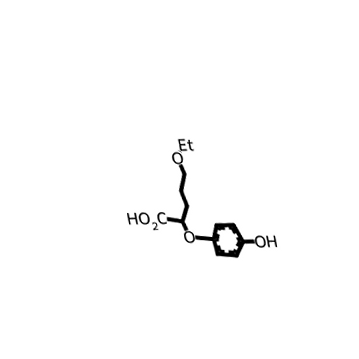 CCOCCCC(Oc1ccc(O)cc1)C(=O)O